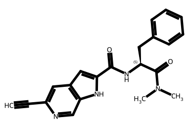 C#Cc1cc2cc(C(=O)N[C@@H](Cc3ccccc3)C(=O)N(C)C)[nH]c2cn1